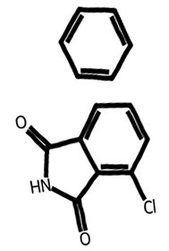 O=C1NC(=O)c2c(Cl)cccc21.c1ccccc1